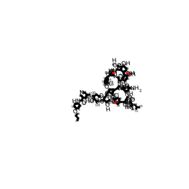 CCCCOc1ccc(NC(=O)c2cncc(CN[C@@]3(C)C[C@H](O[C@H]4C(Oc5c6cc7cc5Oc5ccc(cc5Cl)[C@@H](O)[C@@H](NC(=O)[C@@H](CC(C)C)NC)C(=O)N[C@@H](CC(N)=O)C(=O)NC7C(=O)NC5C(=O)N[C@H](C(=O)N[C@@H](C(=O)O)c7cc(O)cc(O)c7-c7cc5ccc7O)[C@H](O)c5ccc(c(Cl)c5)O6)O[C@H](CO)[C@@H](O)[C@@H]4O)O[C@@H](C)[C@H]3O)c2)cc1